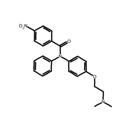 CN(C)CCOc1ccc(N(C(=O)c2ccc([N+](=O)[O-])cc2)c2ccccc2)cc1